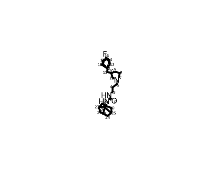 O=C(NCCCN1CCCC(Cc2ccc(F)cc2)C1)NC12CC3CC(CC(C3)C1)C2